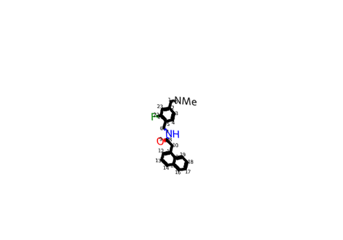 CNCc1ccc(CNC(=O)Cc2cccc3ccccc23)c(F)c1